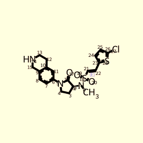 CN([C@H]1CCN(c2ccc3c(c2)CCNC3)C1=O)S(=O)(=O)/C=C/c1ccc(Cl)s1